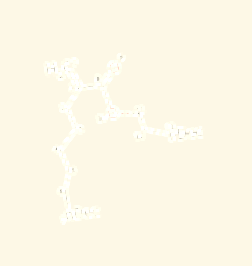 C=C(CCCCCCCCCCCCCCC)C(=O)OCCCCCCCCCCCC